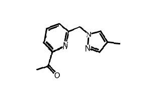 CC(=O)c1cccc(Cn2cc(C)cn2)n1